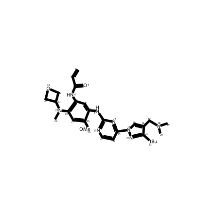 C=CC(=O)Nc1cc(Nc2nccc(-n3cc(CN(C)C)c(C(C)(C)C)n3)n2)c(OC)cc1N(C)C1COC1